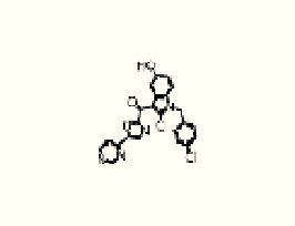 O=C(c1ncc(-c2ccncn2)o1)c1c(Cl)n(Cc2ccc(Cl)cc2)c2ccc(O)cc12